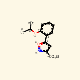 CCOC(=O)c1cc(-c2ccccc2OC(CC)CC)on1